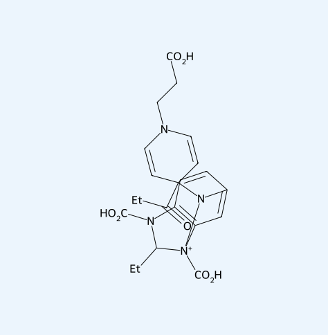 CCC(=O)C1(N2c3ccc4c(c3)[N+]2(C(=O)O)C(CC)N4C(=O)O)C=CN(CCC(=O)O)C=C1